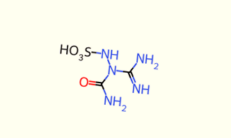 N=C(N)N(NS(=O)(=O)O)C(N)=O